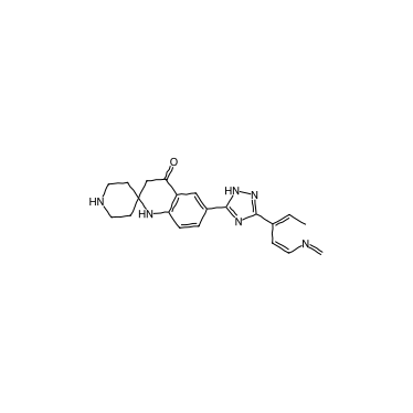 C=N/C=C\C(=C/C)c1n[nH]c(-c2ccc3c(c2)C(=O)CC2(CCNCC2)N3)n1